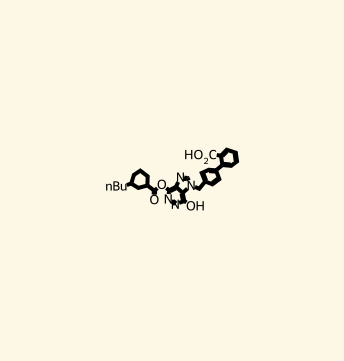 CCCCC1CCCC(C(=O)Oc2nnc(O)c3c2ncn3Cc2ccc(-c3ccccc3C(=O)O)cc2)C1